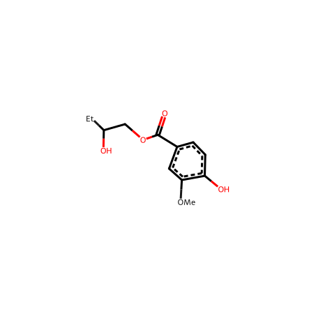 CCC(O)COC(=O)c1ccc(O)c(OC)c1